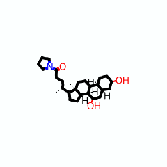 C[C@H](CCC(=O)N1CCCC1)C1CC[C@H]2[C@@H]3[C@H](O)C[C@@H]4C[C@H](O)CC[C@]4(C)[C@H]3CC[C@]12C